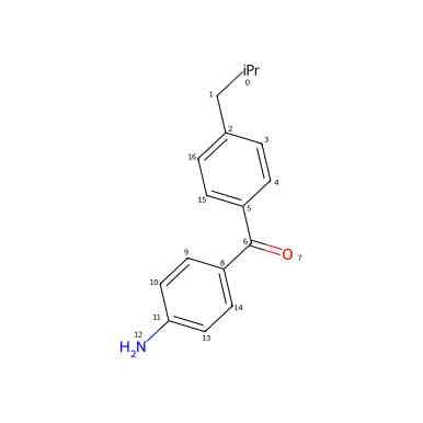 CC(C)Cc1ccc(C(=O)c2ccc(N)cc2)cc1